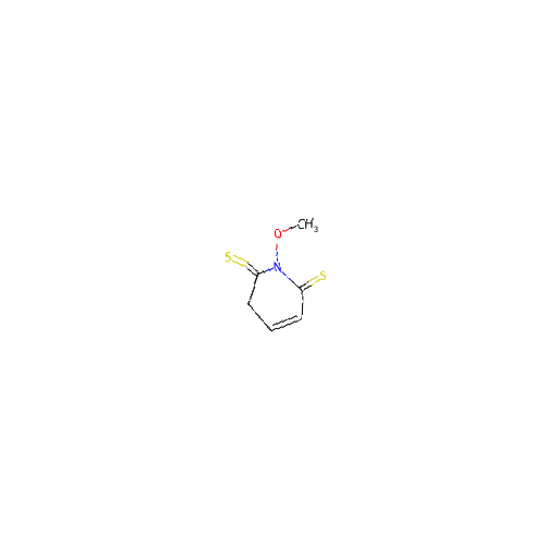 CON1C(=S)C=CCC1=S